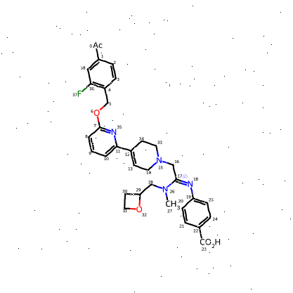 CC(=O)c1ccc(COc2cccc(C3=CCN(C/C(=N/c4ccc(C(=O)O)cc4)N(C)CC4CCO4)CC3)n2)c(F)c1